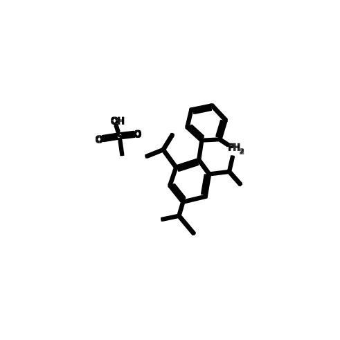 CC(C)c1cc(C(C)C)c(-c2ccccc2P)c(C(C)C)c1.CS(=O)(=O)O